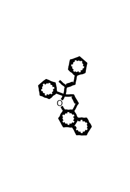 CC(=Cc1ccccc1)C1(c2ccccc2)C=Cc2c(ccc3ccccc23)O1